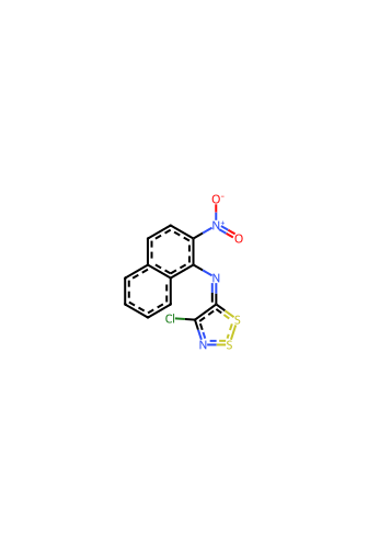 O=[N+]([O-])c1ccc2ccccc2c1/N=c1/ssnc1Cl